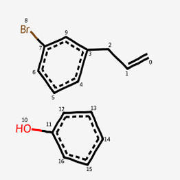 C=CCc1cccc(Br)c1.Oc1ccccc1